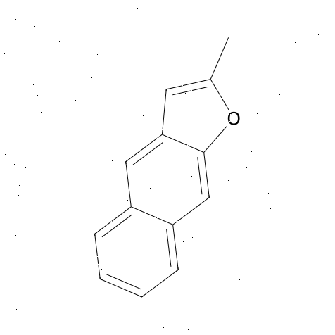 Cc1cc2cc3ccccc3cc2o1